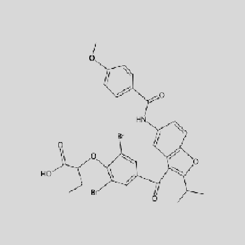 CCC(Oc1c(Br)cc(C(=O)c2c(C(C)C)oc3ccc(NC(=O)c4ccc(OC)cc4)cc23)cc1Br)C(=O)O